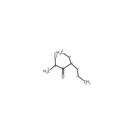 CCCC(CC)C(=O)C(C)Cl